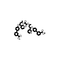 COC(=O)c1cccc(-c2ccc(OC(CC(C)OC(=O)C(=O)OC(C)CC(Oc3ccc(-c4cccc(C(=O)OC)c4)cc3)c3cccnc3)c3cccnc3)cc2)c1